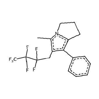 Cc1c(CC(F)(F)C(F)(F)C(F)(F)F)c(-c2ccccc2)c2n1CCC2